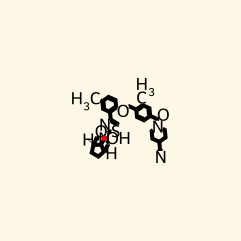 Cc1ccc(OCc2ccc(C(=O)N3CCC(C#N)CC3)cc2C)c(-c2csc(N3C[C@@H]4CC[C@@H](C3)C4C(=O)O)n2)c1